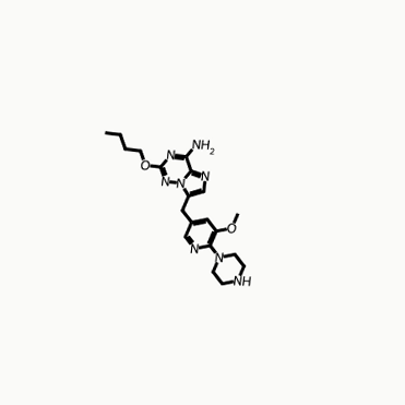 CCCCOc1nc(N)c2ncc(Cc3cnc(N4CCNCC4)c(OC)c3)n2n1